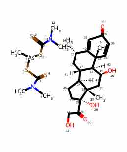 CN(C)C(=S)S[As](C)SC(=S)N(C)C.C[C@H]1C[C@@H]2[C@H]([C@@H](O)C[C@@]3(C)[C@H]2CC[C@]3(O)C(=O)CO)[C@@]2(C)C=CC(=O)C=C12